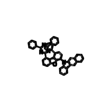 c1ccc(-c2nc(-c3ccccc3)nc(-c3cccc4oc5c(-n6c7ccccc7c7cc8ccccc8cc76)ccc(-c6ccccc6)c5c34)n2)cc1